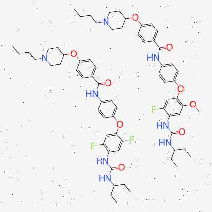 CCCCN1CCC(Oc2ccc(C(=O)Nc3ccc(Oc4cc(F)c(NC(=O)NC(CC)CC)cc4F)cc3)cc2)CC1.CCCCN1CCC(Oc2ccc(C(=O)Nc3ccc(Oc4cc(F)c(NC(=O)NC(CC)CC)cc4OC)cc3)cc2)CC1